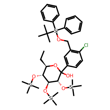 CC[C@H]1OC(O)(c2ccc(Cl)c(CO[Si](c3ccccc3)(c3ccccc3)C(C)(C)C)c2)[C@H](O[Si](C)(C)C)[C@@H](O[Si](C)(C)C)[C@@H]1O[Si](C)(C)C